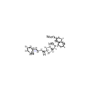 COc1ccc2nccc(C(O)CN3CCC(NC/C=C/c4ccccn4)CC3)c2n1